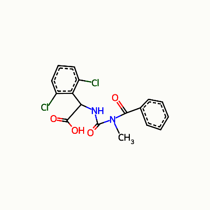 CN(C(=O)NC(C(=O)O)c1c(Cl)cccc1Cl)C(=O)c1ccccc1